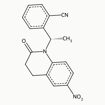 C[C@@H](c1ccccc1C#N)N1C(=O)CCc2cc([N+](=O)[O-])ccc21